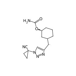 N#CC1(n2cc([CH]C3CCC[C@H](OC(N)=O)C3)nn2)CC1